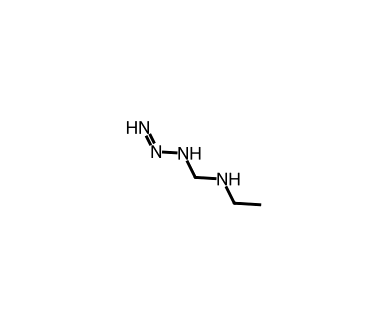 CCNCNN=N